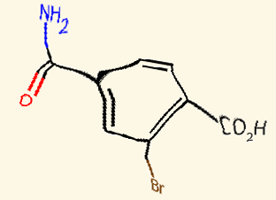 NC(=O)c1ccc(C(=O)O)c(Br)c1